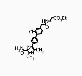 CCOC(=O)CCNC(=O)Cc1ccc(-c2ccc(-c3nc(C(N)=O)c(C)nc3C)cc2)c(Cl)c1